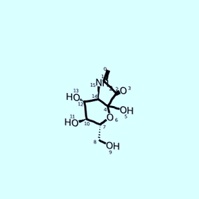 C=CC(=O)C1(O)O[C@H](CO)[C@@H](O)[C@H](O)[C@H]1N